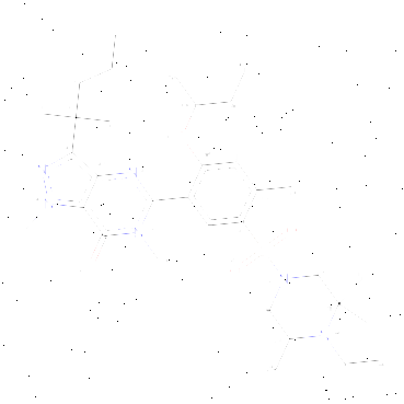 CCCC(C)(C)c1nn(C)c2c(=O)n(C)c(-c3cc(S(=O)(=O)N4CC(C)N(CC)C(C)(C)C4)c(C)cc3OC(C)CC)nc12